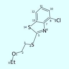 CCOCCSc1nc2c(Cl)cccc2s1